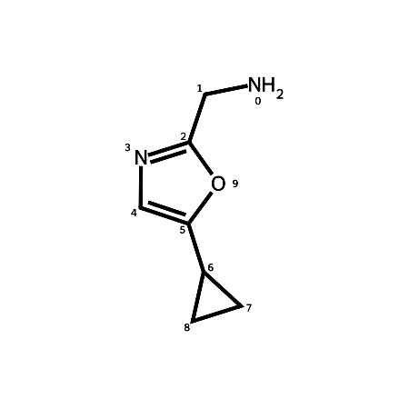 NCc1ncc(C2CC2)o1